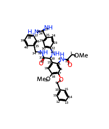 COCC(=O)Nc1cc(OCc2ccccc2)c(OC)cc1C(Nc1ccc(C(=N)N)cc1)C(=O)NCc1ccccc1